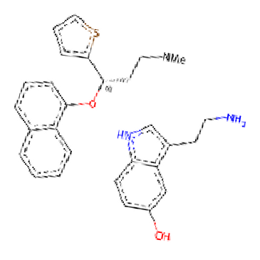 CNCC[C@H](Oc1cccc2ccccc12)c1cccs1.NCCc1c[nH]c2ccc(O)cc12